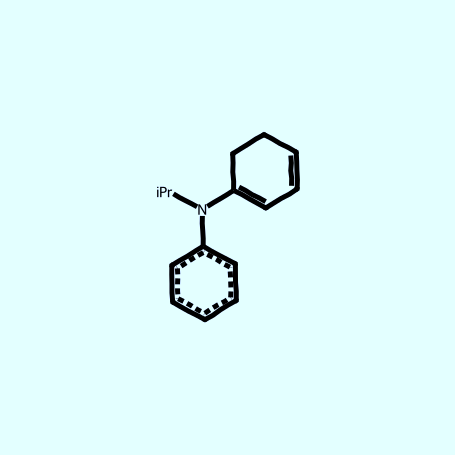 CC(C)N(C1=CC=CCC1)c1ccccc1